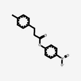 Cc1ccc(CCC(=O)Oc2ccc([N+](=O)[O-])cc2)cc1